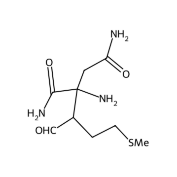 CSCCC(C=O)C(N)(CC(N)=O)C(N)=O